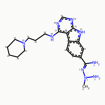 CN(N)/N=C(\N)c1ccc2c(c1)[nH]c1ncnc(NCCCN3CCCCC3)c12